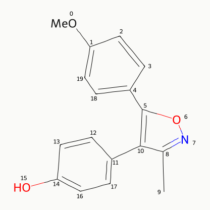 COc1ccc(-c2onc(C)c2-c2ccc(O)cc2)cc1